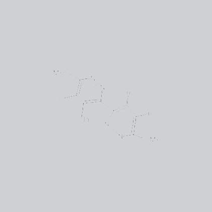 CCCc1c(OC)nnc(-c2nnc(OC)c(CCC)c2CCC)c1CCC